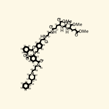 COC(=O)CCC(NC(=O)NC(CCC(=O)NCCNC(=O)Cc1ccc(CN2C(=O)c3ccccc3S(=O)(=O)c3ccc(C(=O)N(C)CCCN4CCC(Cc5ccccc5)CC4)cc32)cc1)C(=O)OC)C(=O)OC